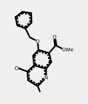 COC(=O)c1cc2nc(C)cc(Cl)c2cc1OCc1ccccc1